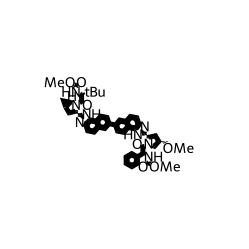 COC[C@H]1C[C@@H](c2nc3ccc4cc(-c5ccc6c(ccc7nc([C@@H]8CC9C[C@H]9N8C(=O)[C@@H](NC(=O)OC)C(C)(C)C)[nH]c76)c5)ccc4c3[nH]2)N(C(=O)[C@H](NC(=O)OC)c2ccccc2)C1